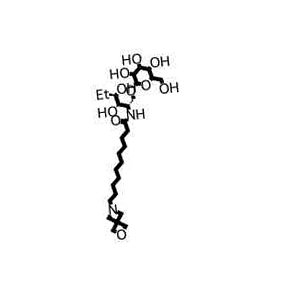 CC[C@@H](O)[C@@H](O)[C@H](COC1OC(CO)C(O)C(O)C1O)NC(=O)CCCCCCCCCCN1CC2(COC2)C1